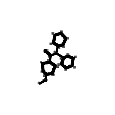 COc1ccc(C(=O)C(c2ccccc2)c2ccccc2)cc1